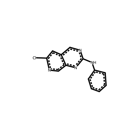 Clc1cc2cnc(Nc3ccccc3)nc2cn1